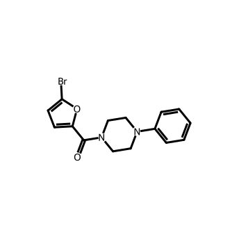 O=C(c1ccc(Br)o1)N1CCN(c2ccccc2)CC1